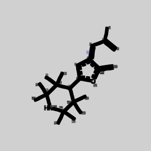 C=C(C)/C=c1/cc(C2C(C)(C)C(C)(C)NC(C)(C)C2(C)C)oc1=C